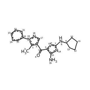 Cc1c(C(=O)c2sc(NC3CCCC3)nc2N)cnn1-c1ccccc1